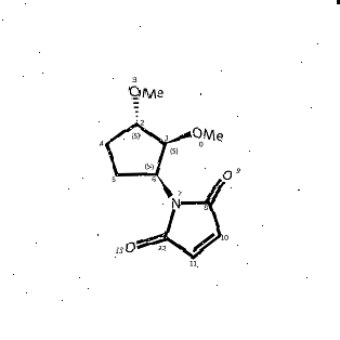 CO[C@@H]1[C@@H](OC)CC[C@@H]1N1C(=O)C=CC1=O